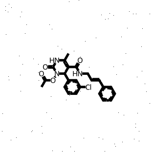 CC(=O)ON1C(=O)NC(C)=C(C(=O)NC/C=C/c2ccccc2)C1c1cccc(Cl)c1